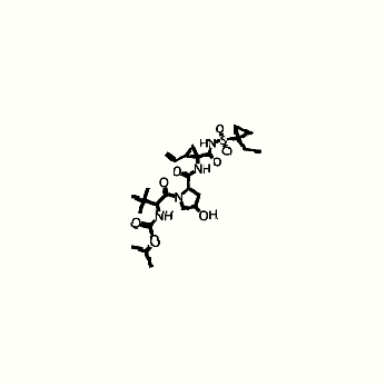 C=CC1CC1(NC(=O)C1CC(O)CN1C(=O)C(NC(=O)OC(C)C)C(C)(C)C)C(=O)NS(=O)(=O)C1(CC)CC1